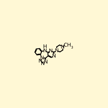 CN1CCN(c2ncc3c(n2)Nc2ccccc2-n2nnnc2-3)CC1